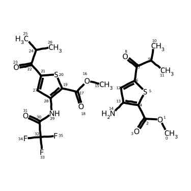 COC(=O)c1sc(C(=O)C(C)C)cc1N.COC(=O)c1sc(C(=O)C(C)C)cc1NC(=O)C(F)(F)F